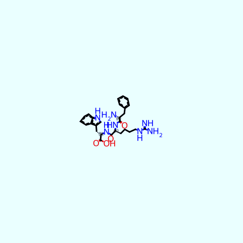 N=C(N)NCCCC[C@H](NC(=O)[C@H](N)Cc1ccccc1)C(=O)N[C@@H](Cc1c[nH]c2ccccc12)C(=O)O